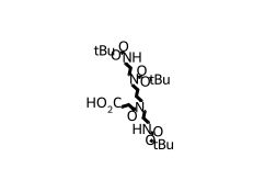 CC(C)(C)OC(=O)NCCCN(CCCCN(CCCNC(=O)OC(C)(C)C)C(=O)OC(C)(C)C)C(=O)CCC(=O)O